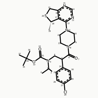 CC(C)N(CC(C(=O)N1CCN(c2ncnc3c2[C@H](C)SC3)CC1)c1ccc(Cl)cc1)C(=O)OC(C)(C)C